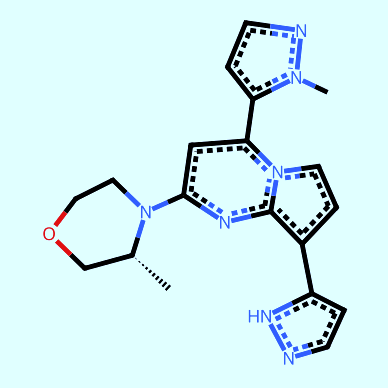 C[C@@H]1COCCN1c1cc(-c2ccnn2C)n2ccc(-c3ccn[nH]3)c2n1